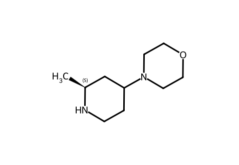 C[C@H]1CC(N2CCOCC2)CCN1